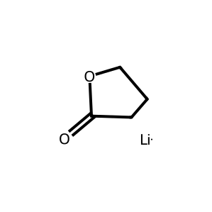 O=C1CCCO1.[Li]